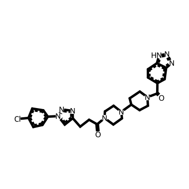 O=C(CCc1cn(-c2ccc(Cl)cc2)nn1)N1CCN(C2CCN(C(=O)c3ccc4[nH]nnc4c3)CC2)CC1